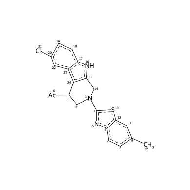 CC(=O)C1CN(c2nc3ccc(C)cc3s2)Cc2[nH]c3ccc(Cl)cc3c21